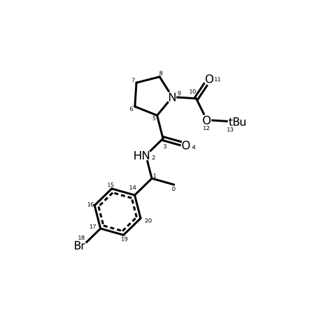 CC(NC(=O)C1CCCN1C(=O)OC(C)(C)C)c1ccc(Br)cc1